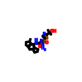 CC1CCc2cc3c(c(NC(=O)N=S(N)(=O)c4cnc(C(C)(C)O)s4)c21)CCC3